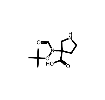 CC(C)(C)ON(C=O)C1(C(=O)O)CCNC1